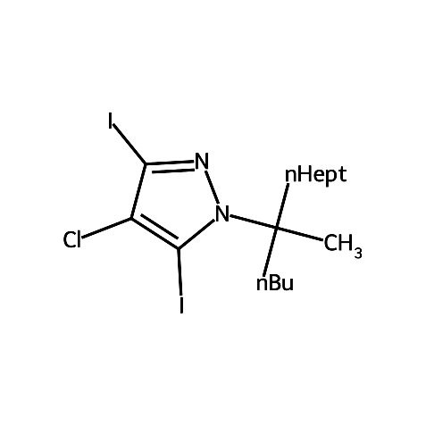 CCCCCCCC(C)(CCCC)n1nc(I)c(Cl)c1I